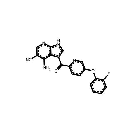 N#Cc1cnc2[nH]cc(C(=O)c3ccc(Oc4ccccc4F)cn3)c2c1N